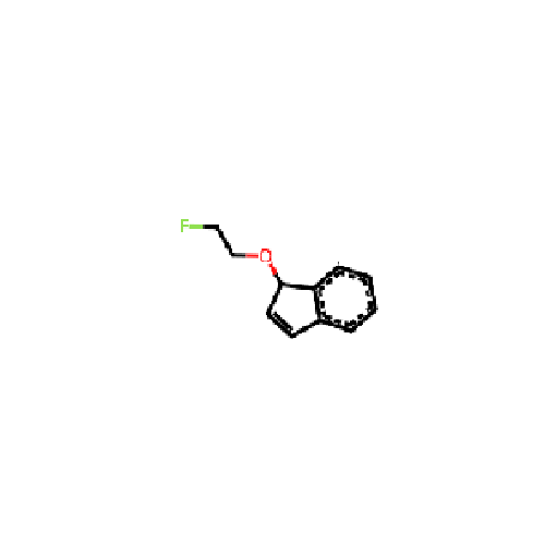 FCCOC1C=Cc2ccc[c]c21